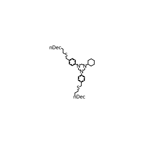 CCCCCCCCCCCCSCc1ccc(N2CN(c3ccc(CSCCCCCCCCCCCC)cc3)CN(C3CCCCC3)C2)cc1